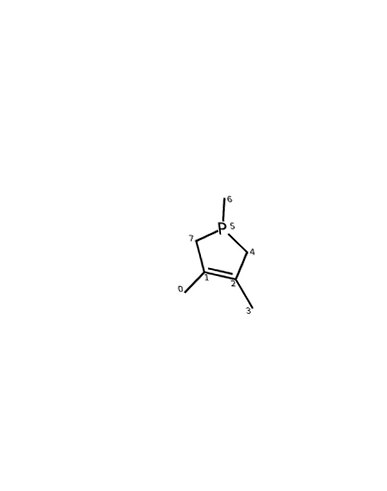 CC1=C(C)CP(C)C1